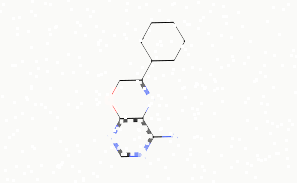 Nc1ncnc2c1N=C(C1CCCCC1)CO2